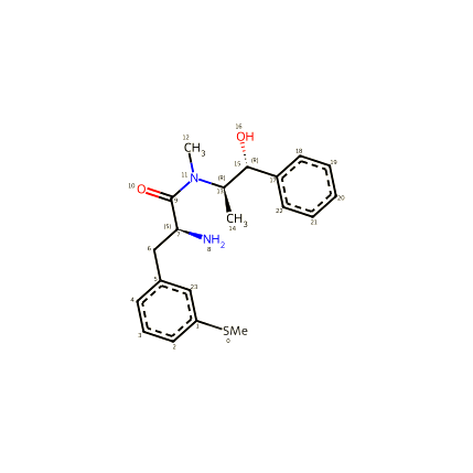 CSc1cccc(C[C@H](N)C(=O)N(C)[C@H](C)[C@H](O)c2ccccc2)c1